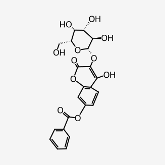 O=C(Oc1ccc2c(O)c(O[C@@H]3O[C@H](CO)[C@H](O)[C@H](O)[C@H]3O)c(=O)oc2c1)c1ccccc1